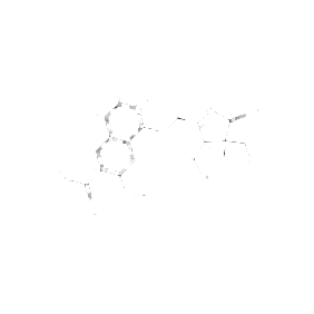 COc1cc2c(OC[C@H]3NC(=O)[C@](F)(CF)C3CO)nccc2cc1C(N)=O